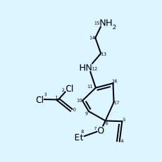 C=C(Cl)Cl.C=CC1(OCC)C=CC(NCCN)=CC1